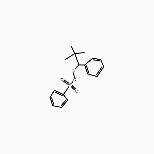 CC(C)(C)C(OOS(=O)(=O)c1ccccc1)c1ccccc1